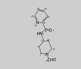 O=CN1CCC(NC(=O)c2ccccn2)CC1